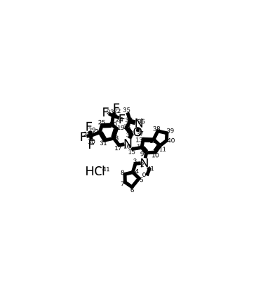 CCN(CC1CCCC1)c1cc2c(cc1CN(Cc1cc(C(F)(F)F)cc(C(F)(F)F)c1)c1cc(C)no1)CCC2.Cl